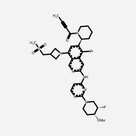 CC#CC(=O)N1CCCC[C@H]1c1cc(N2CC(CS(C)(=O)=O)C2)c2cnc(Nc3ccnc(N4CC[C@@H](OC)[C@@H](F)C4)n3)cc2c1C(C)C